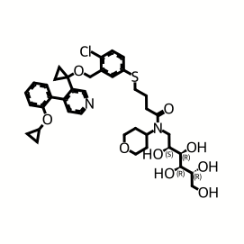 O=C(CCCSc1ccc(Cl)c(COC2(c3cnccc3-c3ccccc3OC3CC3)CC2)c1)N(C[C@H](O)[C@@H](O)[C@H](O)[C@H](O)CO)C1CCOCC1